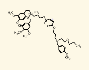 CCCOCCN(CCCOC(=O)/C=C\C(=O)OCCC[N@+]1(C)CCc2cc(OC)c(OC)cc2[C@H]1Cc1ccc(OC)c(OC)c1)Cc1ccc(OC)cc1